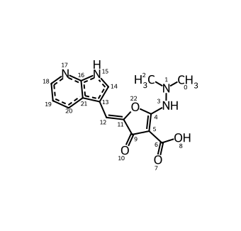 CN(C)NC1=C(C(=O)O)C(=O)/C(=C/c2c[nH]c3ncccc23)O1